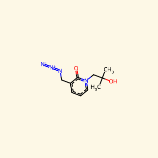 CC(C)(O)Cn1cccc(CN=[N+]=[N-])c1=O